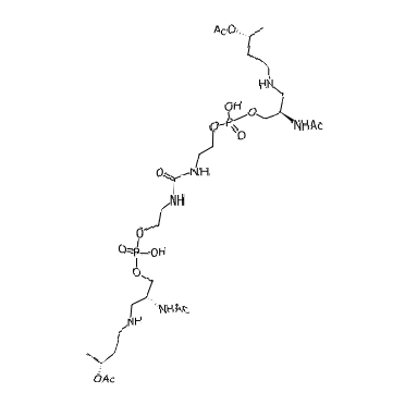 CC(=O)N[C@H](CNCC[C@@H](C)OC(C)=O)COP(=O)(O)OCCNC(=O)NCCOP(=O)(O)OC[C@@H](CNCC[C@@H](C)OC(C)=O)NC(C)=O